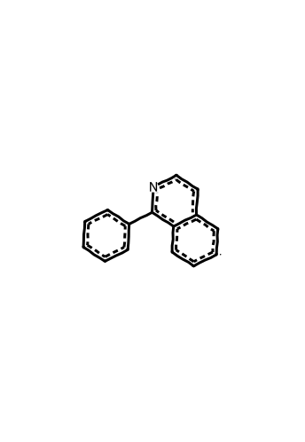 [c]1ccc2c(-c3ccccc3)nccc2c1